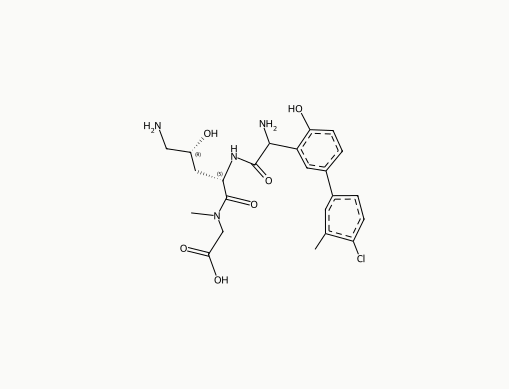 Cc1cc(-c2ccc(O)c(C(N)C(=O)N[C@@H](C[C@@H](O)CN)C(=O)N(C)CC(=O)O)c2)ccc1Cl